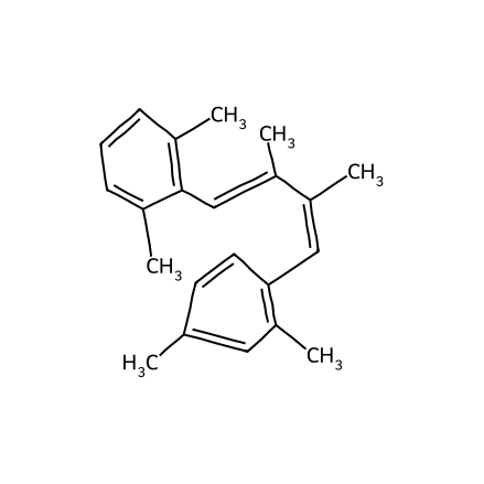 CC(=Cc1ccc(C)cc1C)C(C)=Cc1c(C)cccc1C